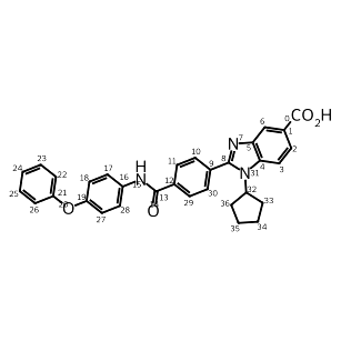 O=C(O)c1ccc2c(c1)nc(-c1ccc(C(=O)Nc3ccc(Oc4ccccc4)cc3)cc1)n2C1CCCC1